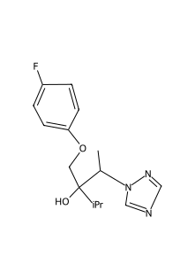 CC(C)C(O)(COc1ccc(F)cc1)C(C)n1cncn1